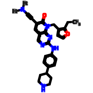 CCN(C#Cc1cc2cnc(Nc3ccc(C4CCNCC4)cc3)nc2n(Cc2ccoc2CC(F)(F)F)c1=O)CC